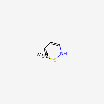 C1=CNSC=C1.[MgH2]